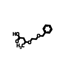 CC(CC(=O)O)OCCOCc1ccccc1